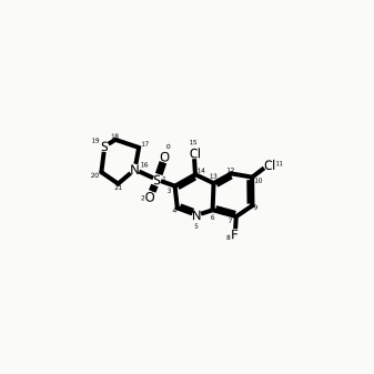 O=S(=O)(c1cnc2c(F)cc(Cl)cc2c1Cl)N1CCSCC1